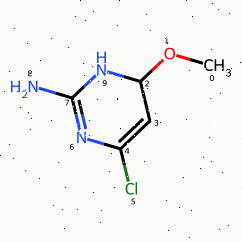 COC1C=C(Cl)N=C(N)N1